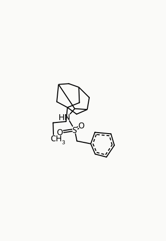 CCCC12CC3CC(C1)C(NS(=O)(=O)Cc1ccccc1)C(C3)C2